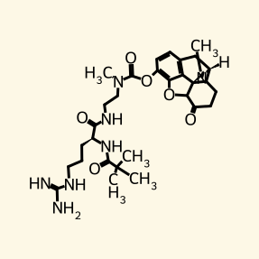 CN(CCNC(=O)[C@H](CCCNC(=N)N)NC(=O)C(C)(C)C)C(=O)Oc1ccc2c3c1OC1C(=O)CCC4[C@@H](C2)N(C)C[C@]314